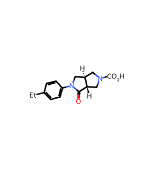 CCc1ccc(N2C[C@H]3CN(C(=O)O)C[C@@H]3C2=O)cc1